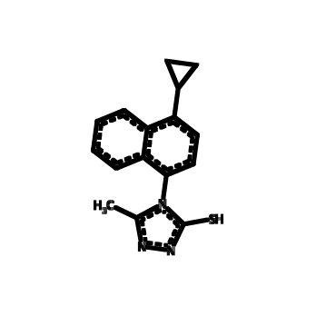 Cc1nnc(S)n1-c1ccc(C2CC2)c2ccccc12